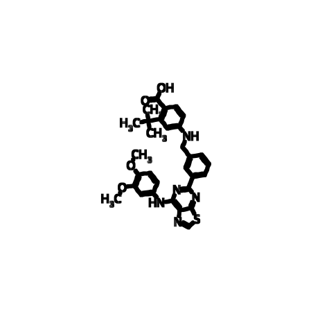 COc1ccc(Nc2nc(-c3cccc(CNc4ccc(C(=O)O)c(C(C)(C)C)c4)c3)nc3scnc23)cc1OC